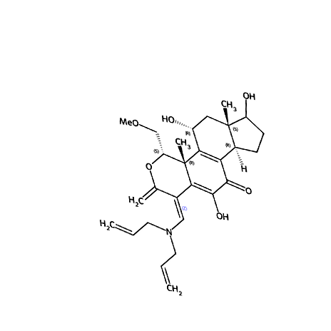 C=CCN(/C=C1\C(=C)O[C@H](COC)[C@@]2(C)C1=C(O)C(=O)C1=C2[C@H](O)C[C@]2(C)C(O)CC[C@@H]12)CC=C